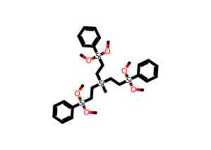 CO[Si](CC[Si](C)(CC[Si](OC)(OC)c1ccccc1)CC[Si](OC)(OC)c1ccccc1)(OC)c1ccccc1